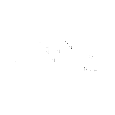 CN1CCC(c2cnc(NCc3c(F)ccc4c3CCO4)n3cnnc23)CC1=O